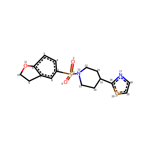 O=S(=O)(c1ccc2c(c1)CCO2)N1CCC(c2nccs2)CC1